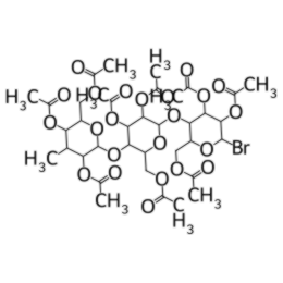 CC(=O)OCC1OC(OC2C(COC(C)=O)OC(OC3C(COC(C)=O)OC(Br)C(OC(C)=O)C3OC(C)=O)C(OC(C)=O)C2OC(C)=O)C(OC(C)=O)C(C)C1OC(C)=O